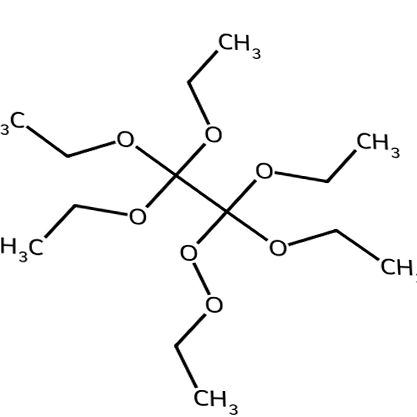 CCOOC(OCC)(OCC)C(OCC)(OCC)OCC